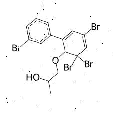 CC(O)COC1C(c2cccc(Br)c2)=CC(Br)=CC1(Br)Br